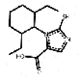 CCC1CCCC(CC)C1n1c(C(=O)O)cnc1S